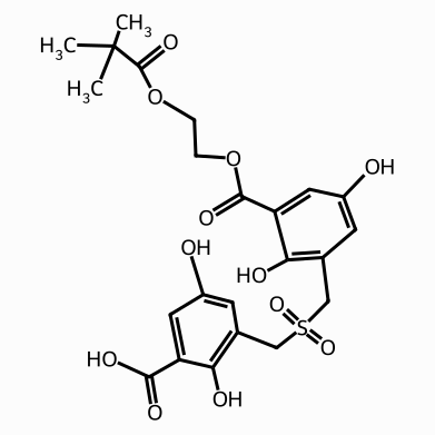 CC(C)(C)C(=O)OCCOC(=O)c1cc(O)cc(CS(=O)(=O)Cc2cc(O)cc(C(=O)O)c2O)c1O